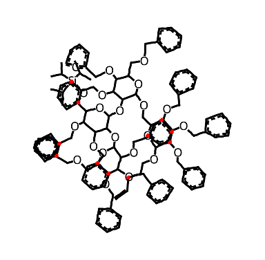 C=CCCCOC1OC(COC2OC(COCc3ccccc3)C(OCc3ccccc3)C(OCc3ccccc3)C2OC2OC(CO[Si](C(C)C)(C(C)C)C(C)C)C(OCc3ccccc3)C(OCc3ccccc3)C2OC2OC(COCc3ccccc3)C(OCc3ccccc3)C(OCc3ccccc3)C2OCc2ccccc2)C(OCc2ccccc2)C(OCc2ccccc2)C1OCc1ccccc1